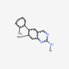 COc1cc2nc(NC(C)C)ncc2cc1-c1ccccc1C